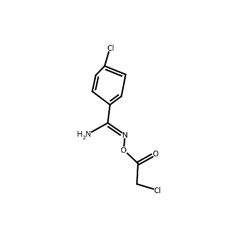 NC(=NOC(=O)CCl)c1ccc(Cl)cc1